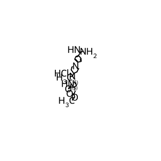 COC(=O)C[C@@H]1C[C@@H](CN(C)C2CCN(c3ccc(C(=N)N)cc3)CC2)NC1=O.Cl